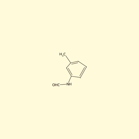 Cc1cc[c]c(NC=O)c1